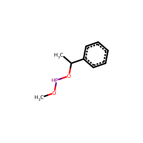 COPOC(C)c1ccccc1